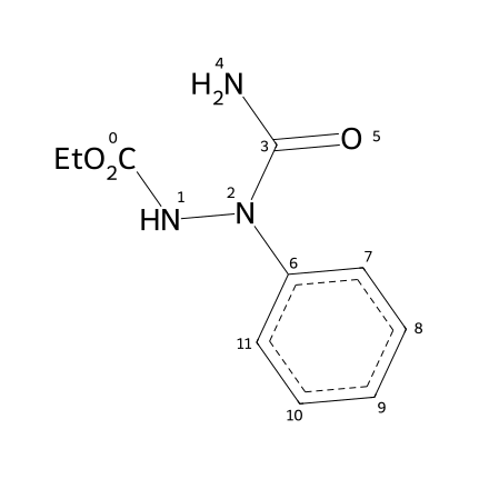 CCOC(=O)NN(C(N)=O)c1ccccc1